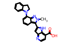 Cn1nc2c(N3CCc4ccccc43)cccc2c1-c1cc2nccc(C(=O)O)c2[nH]1